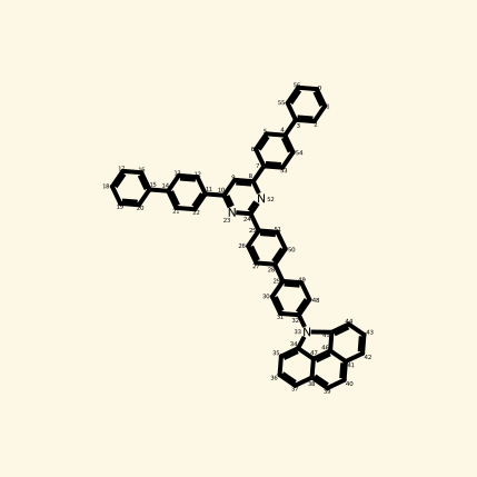 c1ccc(-c2ccc(-c3cc(-c4ccc(-c5ccccc5)cc4)nc(-c4ccc(-c5ccc(-n6c7cccc8ccc9cccc6c9c87)cc5)cc4)n3)cc2)cc1